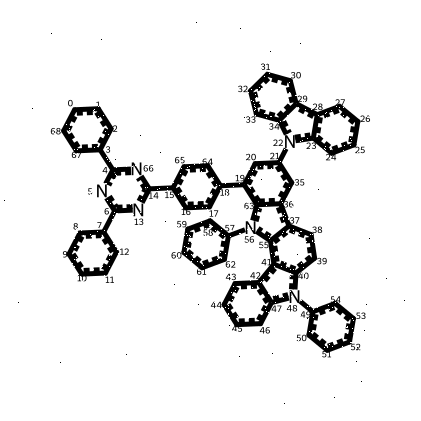 c1ccc(-c2nc(-c3ccccc3)nc(-c3ccc(-c4cc(-n5c6ccccc6c6ccccc65)cc5c6ccc7c(c8ccccc8n7-c7ccccc7)c6n(-c6ccccc6)c45)cc3)n2)cc1